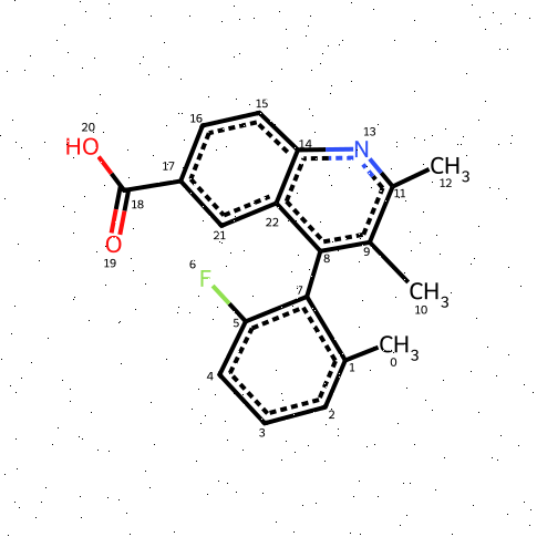 Cc1cccc(F)c1-c1c(C)c(C)nc2ccc(C(=O)O)cc12